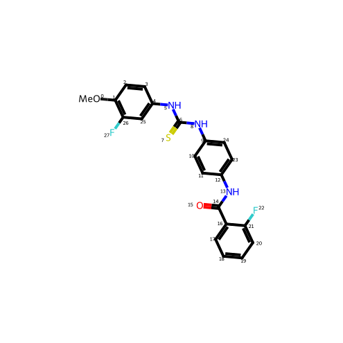 COc1ccc(NC(=S)Nc2ccc(NC(=O)c3ccccc3F)cc2)cc1F